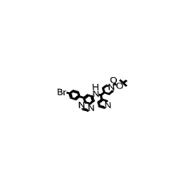 CC(C)(C)OC(=O)N1CCC(C(Nc2cc(-c3ccc(Br)cc3)c3nccnc3c2)c2cccnc2)CC1